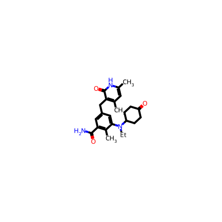 CCN(c1cc(Cc2c(C)cc(C)[nH]c2=O)cc(C(N)=O)c1C)C1CCC(=O)CC1